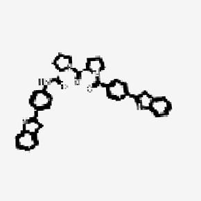 O=C(Nc1ccc(C2=Nc3ccccc3C2)cc1)[C@@H]1CCCN1C(=O)[C@H]1CCCN1C(=O)c1ccc(C2=Nc3ccccc3C2)cc1